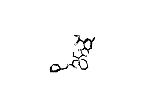 CCC(C(=O)Nc1c(C)cc(C)cc1C(=O)OC)[N+]1(CC(=O)OCc2ccccc2)CCCCCC1